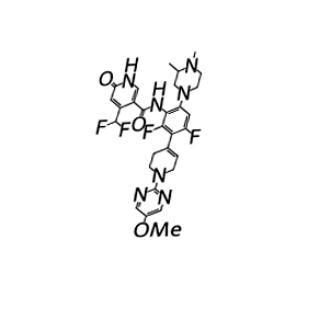 COc1cnc(N2CC=C(c3c(F)cc(N4CCN(C)C(C)C4)c(NC(=O)c4c[nH]c(=O)cc4C(F)F)c3F)CC2)nc1